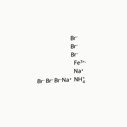 [Br-].[Br-].[Br-].[Br-].[Br-].[Br-].[Fe+3].[NH4+].[Na+].[Na+]